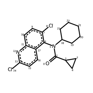 O=C(C1CC1)N(c1c(Cl)ccc2nc(Cl)ccc12)C1CCCCC1